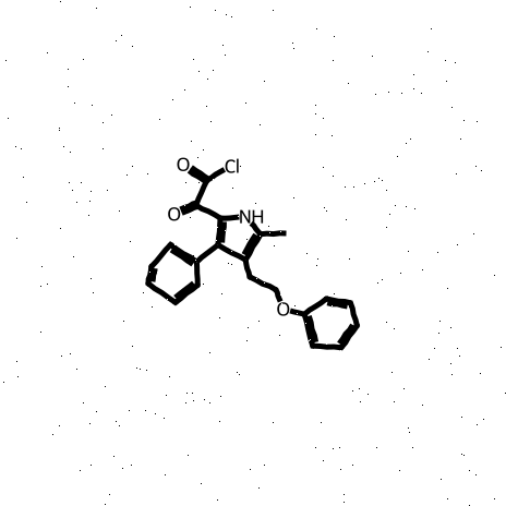 Cc1[nH]c(C(=O)C(=O)Cl)c(-c2ccccc2)c1CCOc1ccccc1